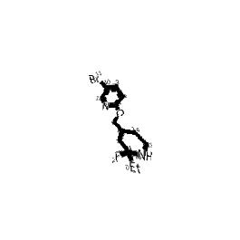 CCC1(F)CC(COc2ccc(Br)cn2)CCN1